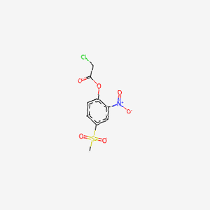 CS(=O)(=O)c1ccc(OC(=O)CCl)c([N+](=O)[O-])c1